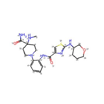 CNC1(C(N)=O)CCN(c2ccccc2NC(=O)c2csc(NC3CCCOC3)n2)CC1